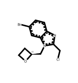 ClCc1nc2ccc(Br)cc2n1C[C@@H]1CCO1